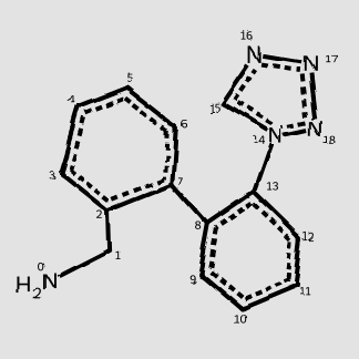 NCc1ccccc1-c1ccccc1-n1cnnn1